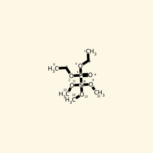 CCOP(=O)(OCC)[Si](OC)(OC)OC